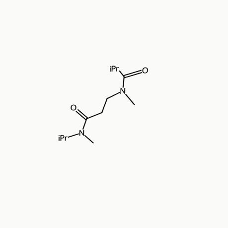 CC(C)C(=O)N(C)CCC(=O)N(C)C(C)C